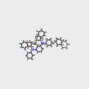 c1ccc(N2c3cccc4c3B(c3sc5ccccc5c32)c2sc3ccccc3c2N4c2ccc(-c3ccc4c(c3)CCCC4)cc2)cc1